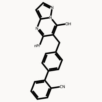 CCCc1nc2ccnn2c(O)c1Cc1ccc(-c2ccccc2C#N)cc1